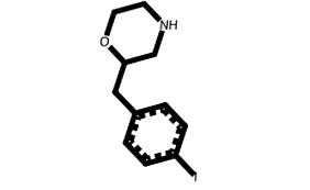 Ic1ccc(CC2CNCCO2)cc1